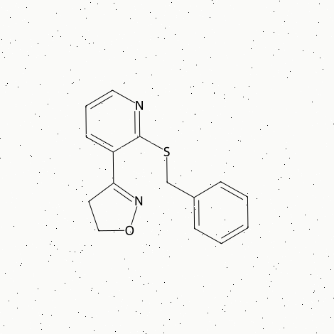 c1ccc(CSc2ncccc2C2=NOCC2)cc1